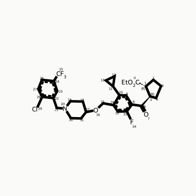 CCOC(=O)[C@@H]1CCC[C@H]1C(=O)c1cc(C2CC2)c(COC2CCN(Cc3cc(C(F)(F)F)ccc3Cl)CC2)cc1F